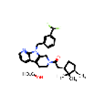 C[C@@H]1CC[C@H](CC(=O)N2CCc3c(n(Cc4cccc(C(F)F)c4)c4ncccc34)C2)C1(C)C.O=C(O)O